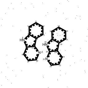 c1ccc2c(c1)[nH]c1cccnc12.c1ccc2c(c1)[nH]c1ncccc12